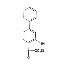 CCOC(=O)C(C)(Cl)c1ccc(-c2ccccc2)cc1S